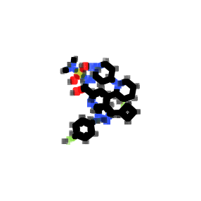 CN(C)S(=O)(=O)NC(=O)c1cc(C2C(F)CCCN2C2CCNCC2)c2c(C3CCC3)nn(-c3ccc(F)cc3)c2n1